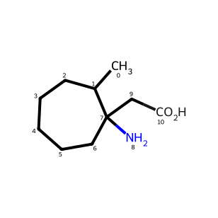 CC1CCCCCC1(N)CC(=O)O